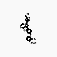 COc1cccc(Oc2ccc(-c3nc(C45COC(CO)(C4)C5)n4ccnc(N)c34)cc2)c1C#N